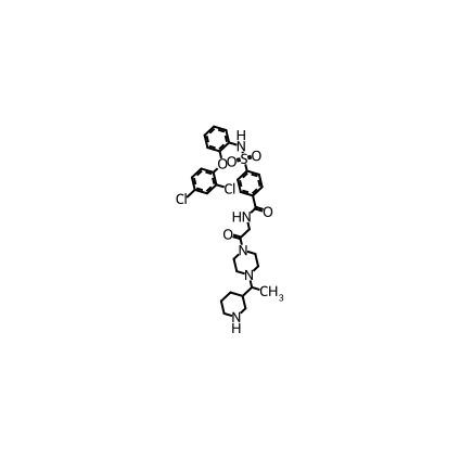 CC(C1CCCNC1)N1CCN(C(=O)CNC(=O)c2ccc(S(=O)(=O)Nc3ccccc3Oc3ccc(Cl)cc3Cl)cc2)CC1